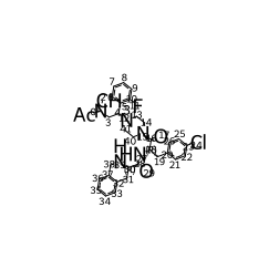 CC(=O)N(C)CC(c1ccccc1F)N1CCN(C(=O)[C@@H](Cc2ccc(Cl)cc2)NC(=O)[C@H]2Cc3ccccc3CN2)CC1